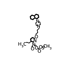 CCCc1ccc(OCCCCN2CCN(c3cccc4ccccc34)CC2)nc1N(C=O)COC(=O)OSC